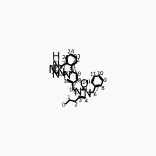 CCCc1cn(Cc2ccccc2)c(=O)n1Cc1ccc(-c2ccccc2-c2nnn[nH]2)nc1